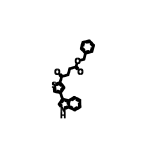 O=C(CCC(=O)c1cc(-c2c[nH]c3ccccc23)cs1)OCc1ccccc1